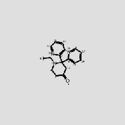 O=C1CCN(CI)C(c2ccccn2)(c2ccccn2)C1